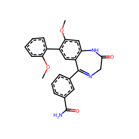 COc1ccccc1-c1cc2c(cc1OC)NC(=O)CN=C2c1cccc(C(N)=O)c1